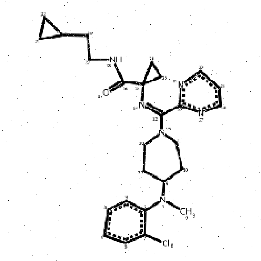 CN(c1ccccc1Cl)C1CCN(C(=NC2(C(=O)NCCC3CC3)CC2)c2ncccn2)CC1